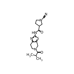 CC(C)C(=O)N1CCc2nc(NC(=O)C3CCN(C#N)C3)sc2C1